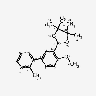 COc1ccc(-c2cccnc2C)cc1B1OC(C)(C)C(C)(C)O1